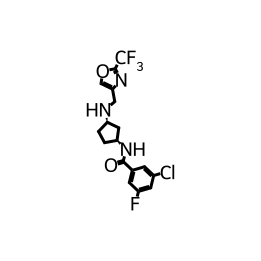 O=C(N[C@H]1CC[C@H](NCc2coc(C(F)(F)F)n2)C1)c1cc(F)cc(Cl)c1